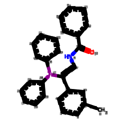 Cc1cccc(C(=CNC(=O)c2ccccc2)P(c2ccccc2)c2ccccc2)c1